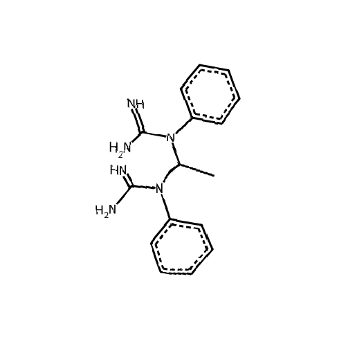 CC(N(C(=N)N)c1ccccc1)N(C(=N)N)c1ccccc1